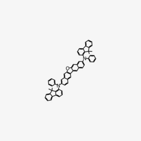 CC1(C)c2ccccc2-c2cccc(N(c3ccccc3)c3ccc4cc5c(cc4c3)oc3cc4cc(N(c6ccccc6)c6cccc7c6C(C)(C)c6ccccc6-7)ccc4cc35)c21